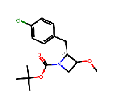 COC1CN(C(=O)OC(C)(C)C)[C@H]1Cc1ccc(Cl)cc1